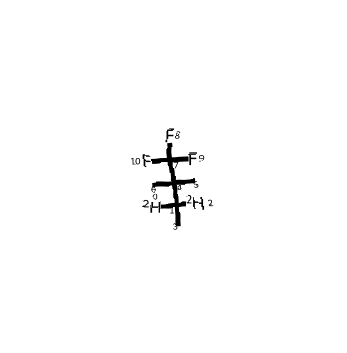 [2H]C([2H])(C)C(C)(C)C(F)(F)F